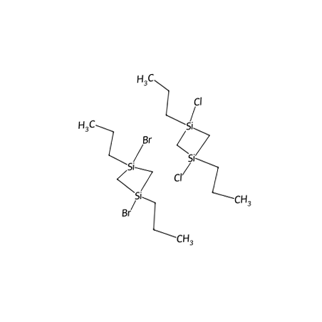 CCC[Si]1(Br)C[Si](Br)(CCC)C1.CCC[Si]1(Cl)C[Si](Cl)(CCC)C1